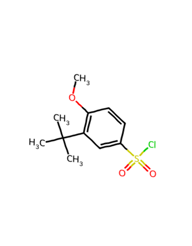 COc1ccc(S(=O)(=O)Cl)cc1C(C)(C)C